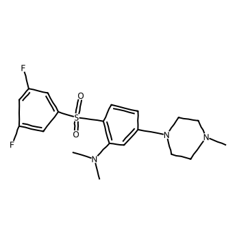 CN1CCN(c2ccc(S(=O)(=O)c3cc(F)cc(F)c3)c(N(C)C)c2)CC1